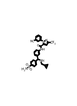 N#Cc1cccc(-n2nc(C(F)(F)F)cc2C(=O)Nc2cccc(C(NCC3CC3)c3ccc(S(N)(=O)=O)cc3)c2)c1